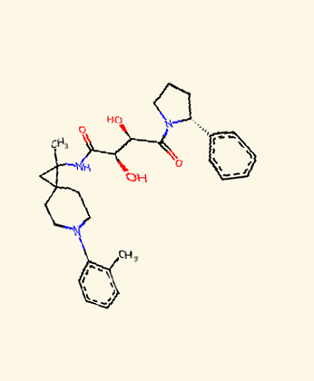 Cc1ccccc1N1CCC2(CC1)CC2(C)NC(=O)[C@H](O)[C@@H](O)C(=O)N1CCC[C@@H]1c1ccccc1